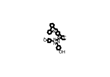 COc1ccc(-c2nc(-c3ccc(O)cc3)nc(-n3c4ccccc4c4cc5cc6c7ccccc7c7ccccc7n6c5cc43)n2)cc1